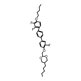 CCCCCOc1ccc(-c2ccc(-c3ccc(OCC4OCC(CCCCC)CO4)c(F)c3)cc2)c(F)c1F